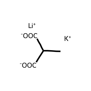 CC(C(=O)[O-])C(=O)[O-].[K+].[Li+]